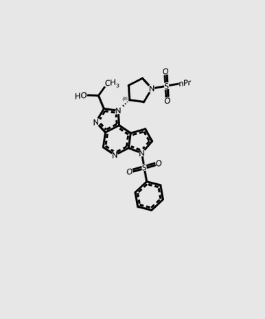 CCCS(=O)(=O)N1CC[C@@H](n2c(C(C)O)nc3cnc4c(ccn4S(=O)(=O)c4ccccc4)c32)C1